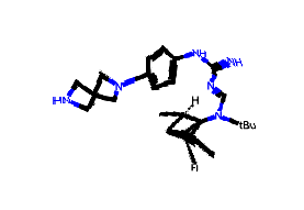 C[C@@H]1C2CC1(N(/C=N/C(=N)Nc1ccc(N3CC4(CNC4)C3)cc1)C(C)(C)C)[C@@H]2C